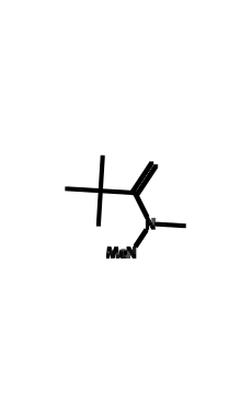 C=C(N(C)NC)C(C)(C)C